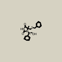 CC1(CSCc2ccccc2)C(=O)NC(=O)N1[C@@H](CO)c1ccccc1